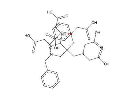 O=C(O)CNC(NCC(=O)O)C(CN(CC(=O)O)CC(=O)O)(CN(CC(=O)O)CC(=O)O)CN(Cc1ccccc1)Cc1ccccc1